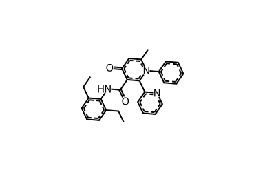 CCc1cccc(CC)c1NC(=O)c1c(-c2ccccn2)n(-c2ccccc2)c(C)cc1=O